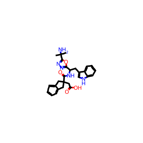 CC(C)(N)c1nnc(C(Cc2c[nH]c3ccccc23)NC(=O)C2(CC(=O)O)Cc3ccccc3C2)o1